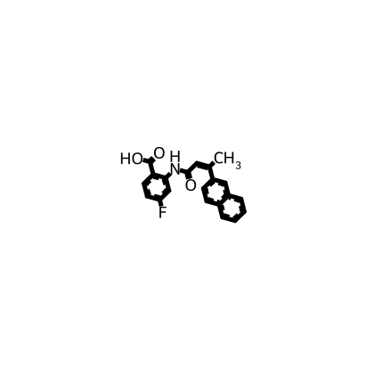 C/C(=C/C(=O)Nc1cc(F)ccc1C(=O)O)c1ccc2ccccc2c1